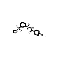 Bc1ccc(C(=O)NS(=O)(=O)c2cccc(S(=O)(=O)N3CCC3)c2)cc1